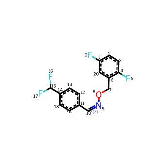 Fc1ccc(F)c(CO/N=[C]\c2ccc(C(F)F)cc2)c1